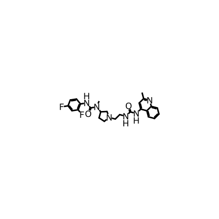 Cc1cc(NC(=O)NCCN2CCC(N(C)C(=O)Nc3ccc(F)cc3F)C2)c2ccccc2n1